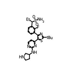 CCC(c1cccc(-c2nc(C(C)(C)C)sc2-c2ccnc(NC3CCNC3)n2)c1F)S(N)(=O)=O